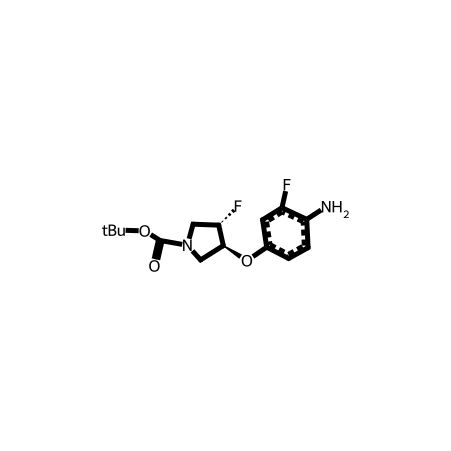 CC(C)(C)OC(=O)N1C[C@H](Oc2ccc(N)c(F)c2)[C@@H](F)C1